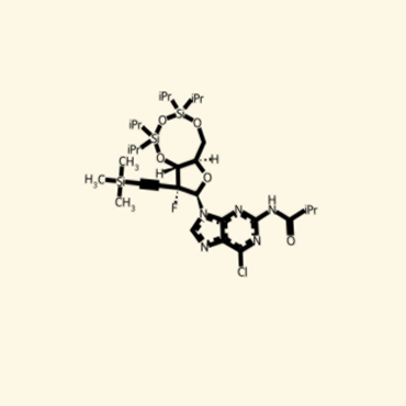 CC(C)C(=O)Nc1nc(Cl)c2ncn([C@@H]3O[C@@H]4CO[Si](C(C)C)(C(C)C)O[Si](C(C)C)(C(C)C)O[C@H]4[C@]3(F)C#C[Si](C)(C)C)c2n1